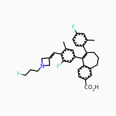 Cc1cc(F)ccc1C1=C(c2cc(C)c(C=C3CN(CCCF)C3)c(F)c2)c2ccc(C(=O)O)cc2CCC1